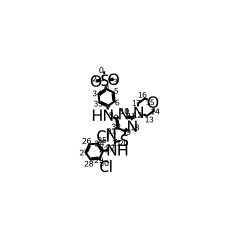 CS(=O)(=O)c1ccc(Nc2nc(N3CCOCC3)nc3sc(Nc4c(Cl)cccc4Cl)nc23)cc1